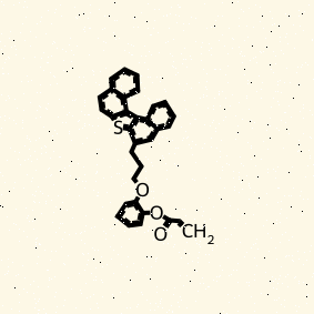 C=CC(=O)Oc1ccccc1OCCCc1cc2ccccc2c2c1sc1ccc3ccccc3c12